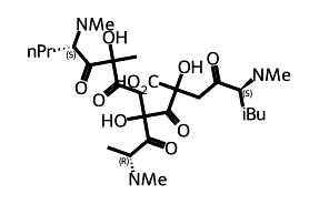 CCC[C@H](NC)C(=O)C(C)(O)C(=O)CC(O)(C(=O)[C@@H](C)NC)C(=O)C(O)(CC(=O)[C@@H](NC)C(C)CC)C(=O)O